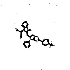 N#CC(C#N)=C1/C(=C/c2cc3oc(-c4ccc(C(F)(F)F)cc4)nc3n2-c2ccccc2)C(=O)c2ccccc21